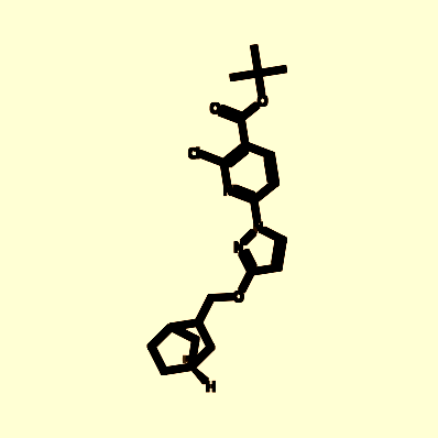 CC(C)(C)OC(=O)c1ccc(-n2ccc(OCC3C[C@@H]4CCC3C4)n2)nc1Cl